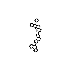 c1ccc(-c2c3ccccc3nc3c2ccc2ccc(-c4ccc5c(ccc6cc(-c7cc8cccnc8c8ncccc78)ccc65)c4)nc23)cc1